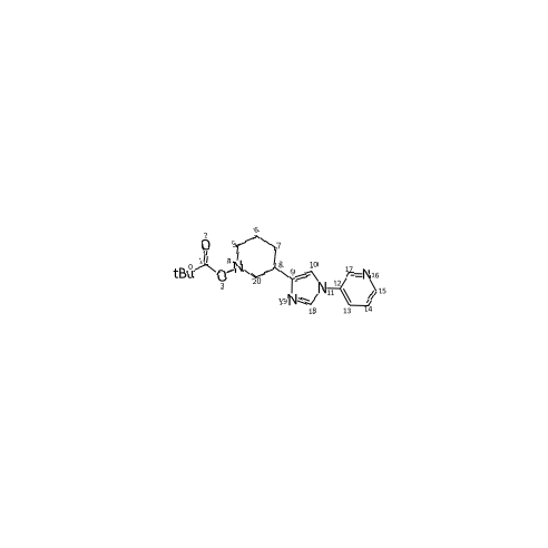 CC(C)(C)C(=O)ON1CCCC(c2cn(-c3cccnc3)cn2)C1